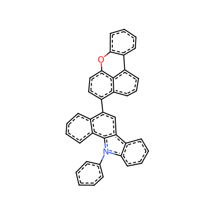 c1ccc(-n2c3ccccc3c3cc(-c4ccc5c6c(cccc46)-c4ccccc4O5)c4ccccc4c32)cc1